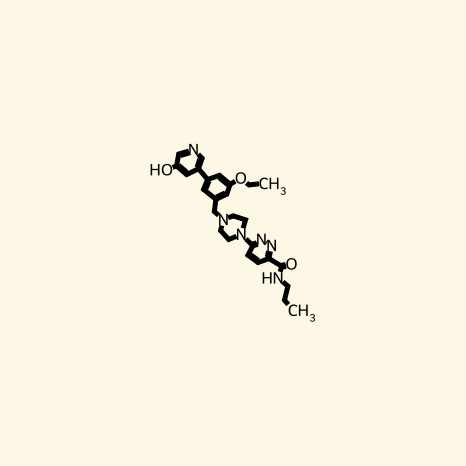 CCCNC(=O)c1ccc(N2CCN(Cc3cc(OCC)cc(-c4cncc(O)c4)c3)CC2)nn1